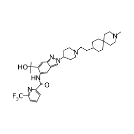 CN1CCC2(CCC(CCN3CCC(n4cc5cc(NC(=O)c6cccc(C(F)(F)F)n6)c(C(C)(C)O)cc5n4)CC3)CC2)CC1